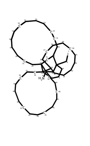 NC12CCCC(CI)(C1)C1CCCCCCCCCCCCCC2(C2(C3CCCCCCCCCC3)CCCCCCCCCCCCCCC2)C1